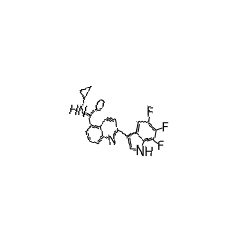 O=C(NC1CC1)c1cccc2nc(-c3c[nH]c4c(F)c(F)c(F)cc34)ccc12